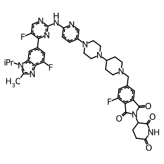 Cc1nc2c(F)cc(-c3nc(Nc4ccc(N5CCN(C6CCN(Cc7cc(F)c8c(c7)C(=O)N(C7CCC(=O)NC7=O)C8=O)CC6)CC5)cn4)ncc3F)cc2n1C(C)C